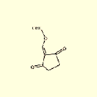 O=COC=C1C(=O)CCC1=O